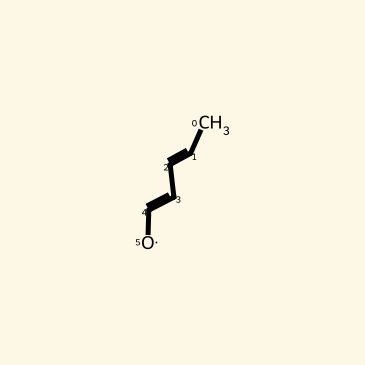 C/C=C/C=C/[O]